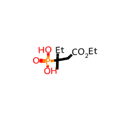 CCOC(=O)CC(C)(CC)P(=O)(O)O